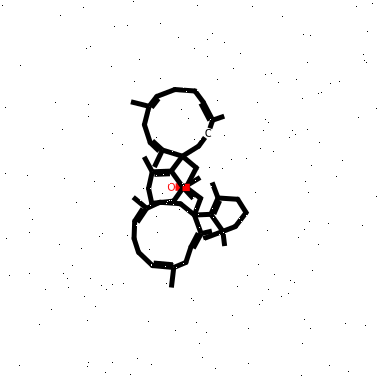 CC1=CCCC=C(C)CCC(CC(=O)CC2(C3=C(C)CCCC3(C)C)CCC(C)=CCCC=C(C)CC=C2C)(C2=C(C)CCCC2(C)C)C(C)=CC1